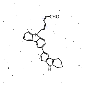 O=C/C=C\C=C/Cn1c2ccccc2c2cc(-c3ccc4[nH]c5c(c4c3)CCCC5)ccc21